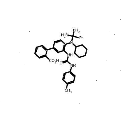 BC(B)(C(C)C)N(c1ccc(-c2ccccc2C(=O)O)cc1NC(=O)Nc1ccc(C)cc1)C1CCCCC1